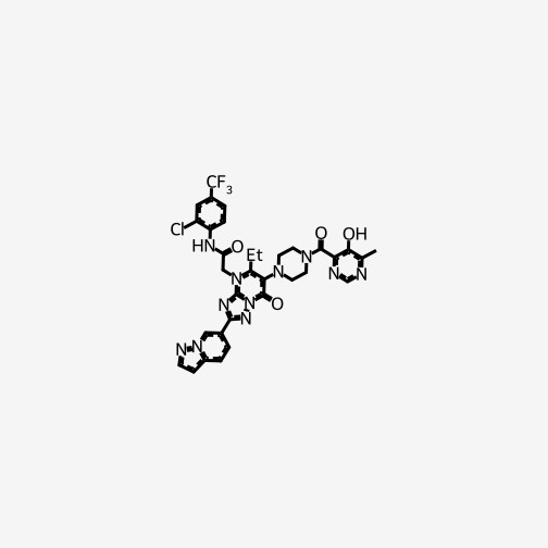 CCc1c(N2CCN(C(=O)c3ncnc(C)c3O)CC2)c(=O)n2nc(-c3ccc4ccnn4c3)nc2n1CC(=O)Nc1ccc(C(F)(F)F)cc1Cl